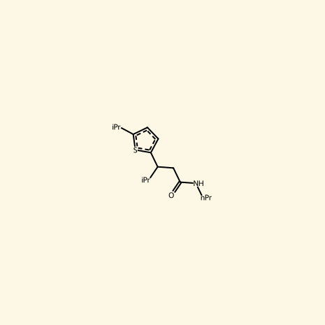 CCCNC(=O)CC(c1ccc(C(C)C)s1)C(C)C